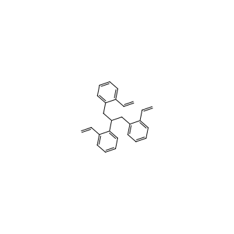 C=Cc1ccccc1CC(Cc1ccccc1C=C)c1ccccc1C=C